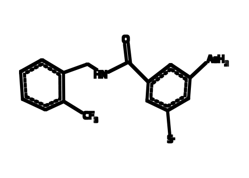 O=C(NCc1ccccc1C(F)(F)F)c1cc([S])cc([AsH2])c1